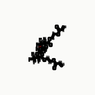 C=CC(=O)OCCOC(=O)C(F)(OC(F)(F)C(F)(F)OC(F)(C(=O)OCCOC(=O)C=C)C(F)(F)F)C(F)(F)F